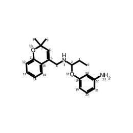 CCC(NCC1=CC(C)(C)Oc2ccccc21)Oc1cccc(N)c1